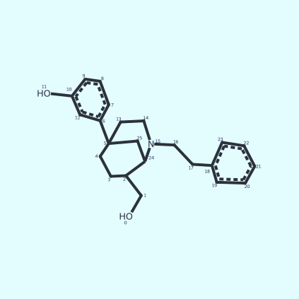 OCC1CCC2(c3cccc(O)c3)CCN(CCc3ccccc3)C1C2